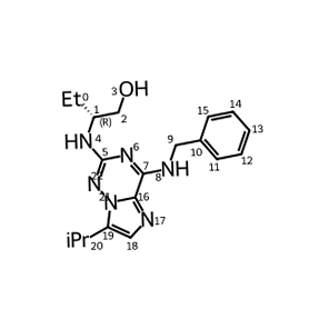 CC[C@H](CO)Nc1nc(NCc2ccccc2)c2ncc(C(C)C)n2n1